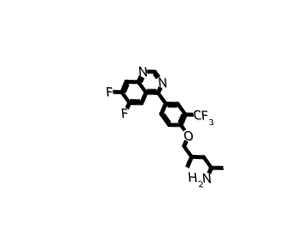 CC(N)CC(C)COc1ccc(-c2ncnc3cc(F)c(F)cc23)cc1C(F)(F)F